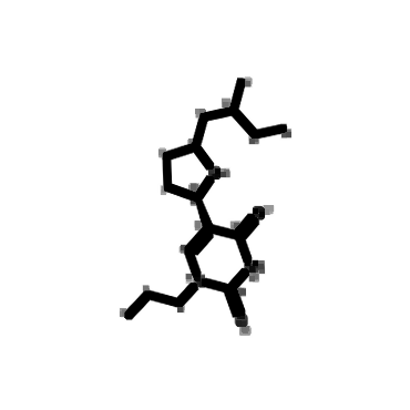 CCCn1cc([C@H]2CCC(CC(C)CC)O2)c(=O)[nH]c1=O